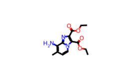 CCOC(=O)c1nc2c(N)c(C)ccn2c1C(=O)OCC